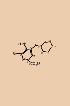 CCOC(=O)c1cc(Br)c(N)c(CN2CCOCC2)c1